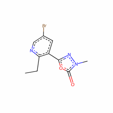 CCc1ncc(Br)cc1-c1nn(C)c(=O)o1